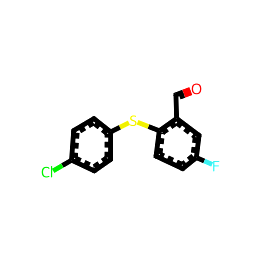 O=Cc1cc(F)ccc1Sc1ccc(Cl)cc1